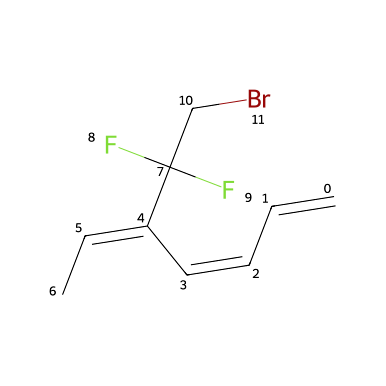 C=C/C=C\C(=C/C)C(F)(F)CBr